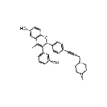 CC1=C(c2cccc(O)c2)C(c2ccc(C#CCN3CCN(C)CC3)cc2)Oc2ccc(O)cc21